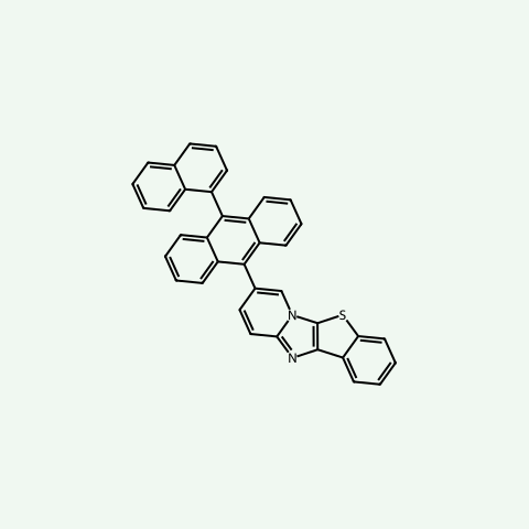 c1ccc2c(-c3c4ccccc4c(-c4ccc5nc6c7ccccc7sc6n5c4)c4ccccc34)cccc2c1